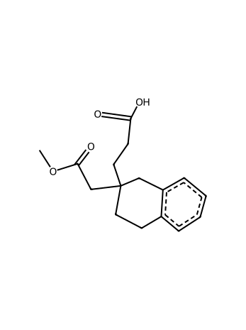 COC(=O)CC1(CCC(=O)O)CCc2ccccc2C1